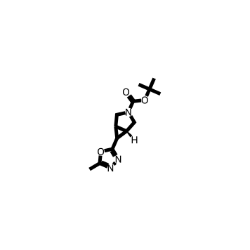 Cc1nnc(C2C3CN(C(=O)OC(C)(C)C)C[C@@H]32)o1